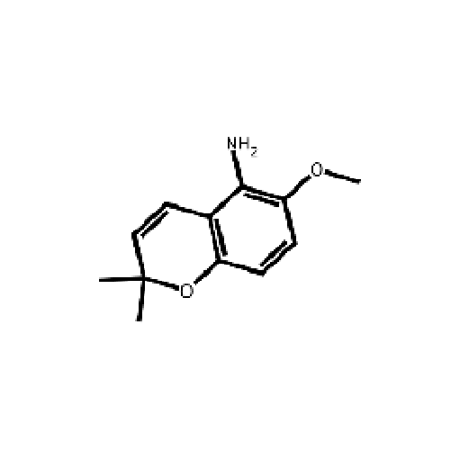 COc1ccc2c(c1N)C=CC(C)(C)O2